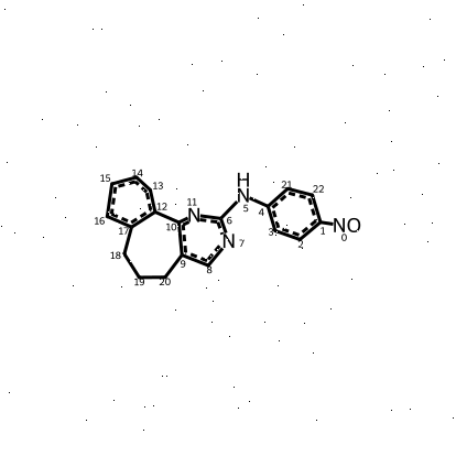 O=Nc1ccc(Nc2ncc3c(n2)-c2ccccc2CCC3)cc1